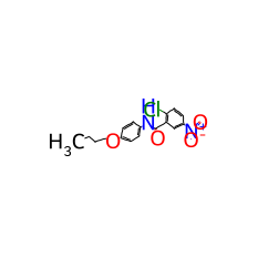 CCCCOc1ccc(NC(=O)c2cc([N+](=O)[O-])ccc2Cl)cc1